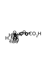 CCCCOc1nc(N)c2[nH]c(=O)n(CCN3CCC(Oc4cccc(CC(=O)O)c4)CC3)c2n1